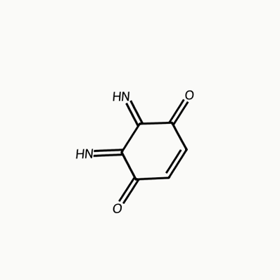 N=c1c(=O)ccc(=O)c1=N